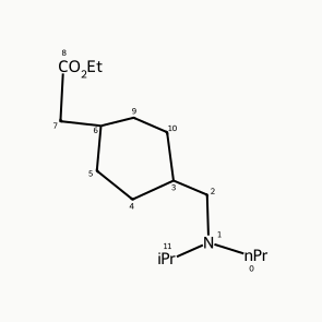 CCCN(CC1CCC(CC(=O)OCC)CC1)C(C)C